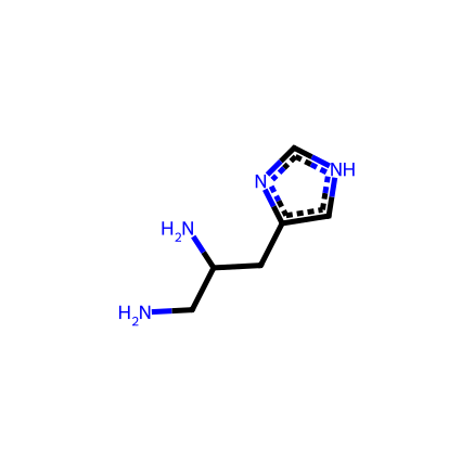 NCC(N)Cc1c[nH]cn1